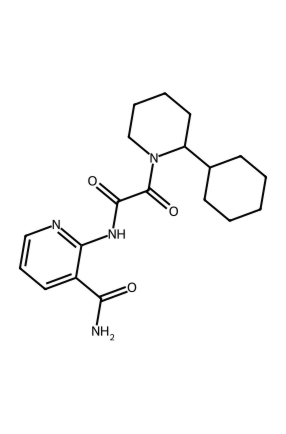 NC(=O)c1cccnc1NC(=O)C(=O)N1CCCCC1C1CCCCC1